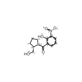 O=C(c1cccc([N+](=O)[O-])c1O)N1CCC[C@@H]1CO